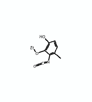 CCOc1c(O)ccc(C)c1N=C=O